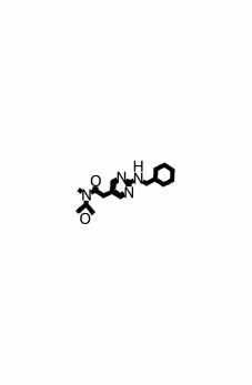 CN(C(=O)Cc1cnc(NCC2CCCCC2)nc1)C1COC1